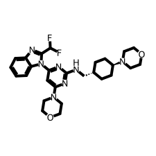 FC(F)c1nc2ccccc2n1-c1cc(N2CCOCC2)nc(NC[C@H]2CC[C@H](N3CCOCC3)CC2)n1